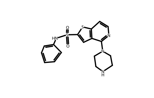 O=S(=O)(Nc1ccccc1)c1cc2c(N3CCNCC3)nccc2s1